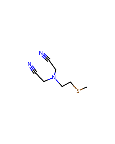 CSCCN(CC#N)CC#N